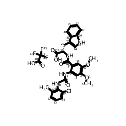 COc1cc(NC(=O)Nc2c(C)cccc2Cl)c(C(=O)N[C@@H](Cc2c[nH]c3ccccc23)C(=O)O)cc1OC.O=C(O)C(F)(F)F